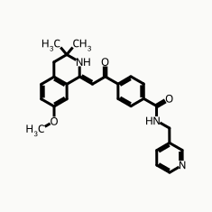 COc1ccc2c(c1)C(=CC(=O)c1ccc(C(=O)NCc3cccnc3)cc1)NC(C)(C)C2